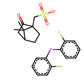 CC1(C)C2CCC1(CS(=O)(=O)[O-])C(=O)C2.Fc1ccccc1[I+]c1ccccc1F